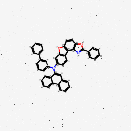 c1ccc(-c2cccc(N(c3ccc4c(c3)oc3ccc5oc(-c6ccccc6)nc5c34)c3cc4ccccc4c4ccccc34)c2)cc1